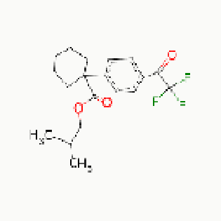 CC(C)COC(=O)C1(c2ccc(C(=O)C(F)(F)F)cc2)CCCCC1